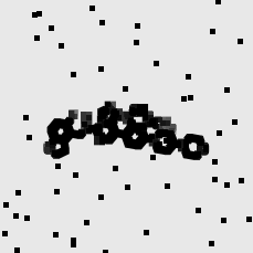 C=Nn1c(N2CCC(N3CCOCC3)CC2)ccc(-c2cnc(NCc3c(F)ccc4c3CCO4)n3cnnc23)/c1=N/C